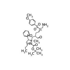 CCCCC(c1ccccc1)[C@](C)(NC(=O)OC(C)(C)C)C(O)C(C=O)CC[C@H](CN)S(=O)(=O)c1ccc(OC)cc1